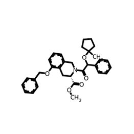 COC(=O)[C@@H]1Cc2c(cccc2OCc2ccccc2)CN1C(=O)C(OC1(C)CCCC1)c1ccccc1